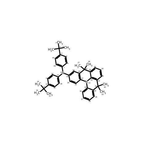 CC(C)(C)c1ccc(N(c2ccc(C(C)(C)C)cc2)c2ccc3c(c2)C(C)(C)c2cccc4c2N3c2ccccc2C4(C)C)cc1